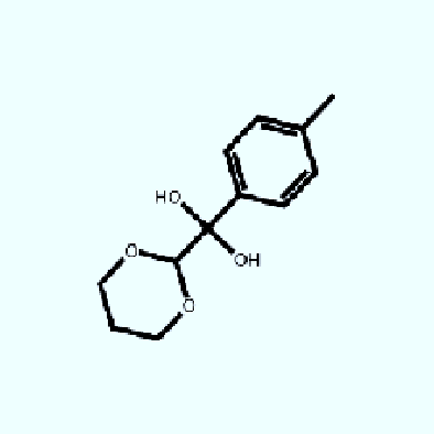 Cc1ccc(C(O)(O)C2OCCCO2)cc1